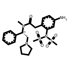 CN(C(=O)Cc1ccc(N)cc1N(S(C)(=O)=O)S(C)(=O)=O)[C@H](CN1CCCC1)c1ccccc1